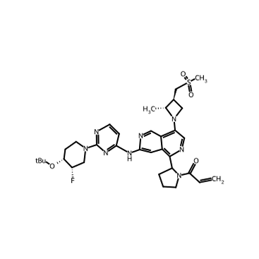 C=CC(=O)N1CCCC1c1ncc(N2C[C@H](CS(C)(=O)=O)[C@H]2C)c2cnc(Nc3ccnc(N4CC[C@@H](OC(C)(C)C)[C@@H](F)C4)n3)cc12